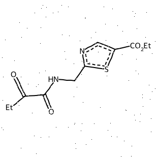 CCOC(=O)c1cnc(CNC(=O)C(=O)CC)s1